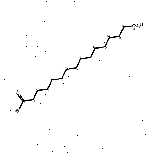 CC(C)C(=O)CCCCCCCCCCCCCCC(=O)O